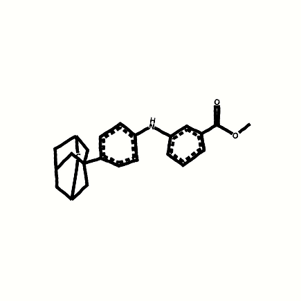 COC(=O)c1cccc(Nc2ccc(C34CC5CC(CC(C5)C3)C4)cc2)c1